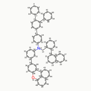 c1ccc(-c2ccc(-c3ccc(N(Cc4ccccc4-c4cccc5ccccc45)c4cccc(-c5ccc6c(c5)-c5cccc7cccc(c57)O6)c4)cc3)cc2-c2ccccc2)cc1